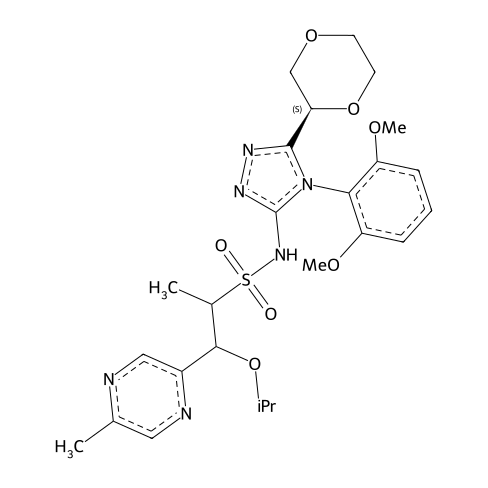 COc1cccc(OC)c1-n1c(NS(=O)(=O)C(C)C(OC(C)C)c2cnc(C)cn2)nnc1[C@H]1COCCO1